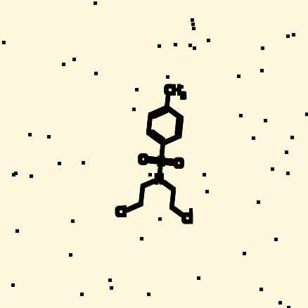 Cc1ccc(S(=O)(=O)N(CCCl)CCCl)cc1